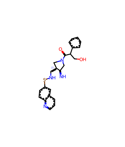 N=C1CN(C(=O)C(CO)c2ccccc2)C/C1=C/NSc1ccc2ncccc2c1